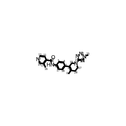 CC1=C(c2ccc(NC(=O)c3ccncc3C)cc2)CN(c2nnn(C)n2)CC1